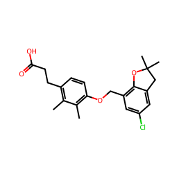 Cc1c(CCC(=O)O)ccc(OCc2cc(Cl)cc3c2OC(C)(C)C3)c1C